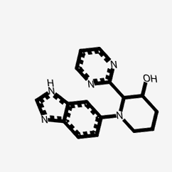 OC1CCCN(c2ccc3nc[nH]c3c2)C1c1ncccn1